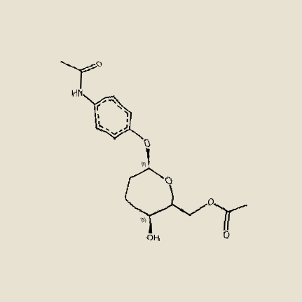 CC(=O)Nc1ccc(O[C@@H]2CC[C@H](O)C(COC(C)=O)O2)cc1